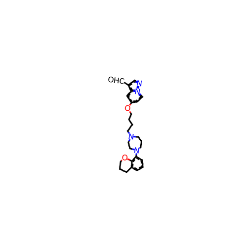 O=Cc1cnn2ccc(OCCCCN3CCCN(c4cccc5c4OCCC5)CC3)cc12